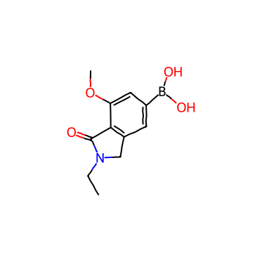 CCN1Cc2cc(B(O)O)cc(OC)c2C1=O